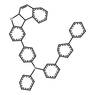 C1=CC2Oc3ccc(-c4ccc(N(c5ccccc5)c5cccc(-c6ccc(-c7ccccc7)cc6)c5)cc4)cc3C2c2ccccc21